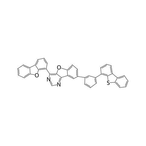 c1cc(-c2ccc3oc4c(-c5cccc6c5oc5ccccc56)ncnc4c3c2)cc(-c2cccc3c2sc2ccccc23)c1